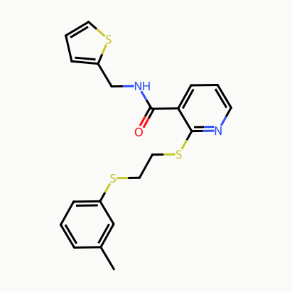 Cc1cccc(SCCSc2ncccc2C(=O)NCc2cccs2)c1